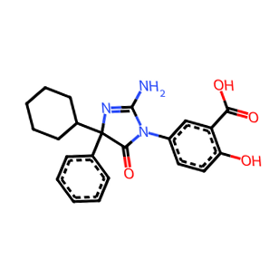 NC1=NC(c2ccccc2)(C2CCCCC2)C(=O)N1c1ccc(O)c(C(=O)O)c1